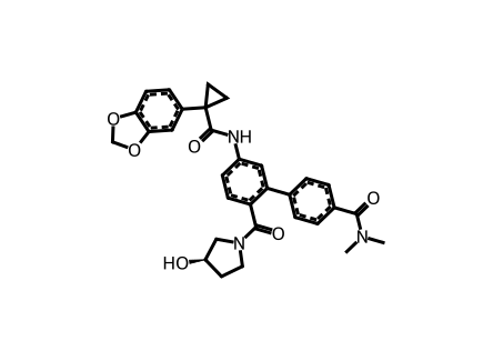 CN(C)C(=O)c1ccc(-c2cc(NC(=O)C3(c4ccc5c(c4)OCO5)CC3)ccc2C(=O)N2CC[C@@H](O)C2)cc1